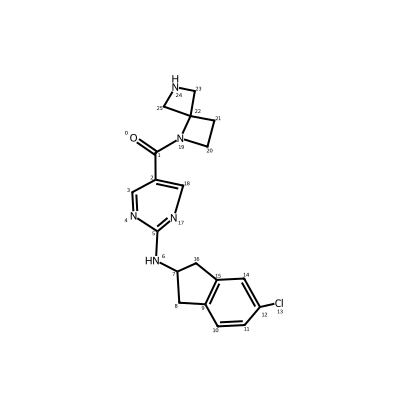 O=C(c1cnc(NC2Cc3ccc(Cl)cc3C2)nc1)N1CCC12CNC2